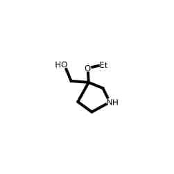 CCOC1(CO)CCNC1